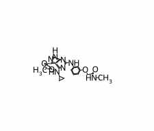 CNC(=O)COc1cccc(Nc2nc(NC3CC3)c3c(S(C)(=O)=O)n[nH]c3n2)c1